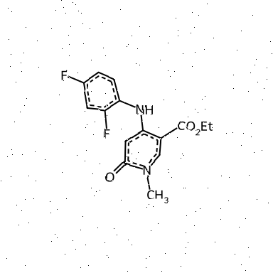 CCOC(=O)c1cn(C)c(=O)cc1Nc1ccc(F)cc1F